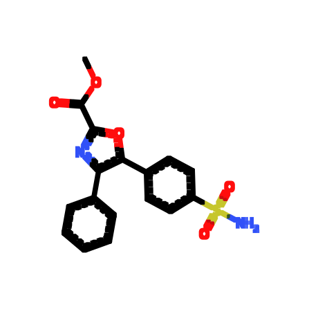 COC(=O)c1nc(-c2ccccc2)c(-c2ccc(S(N)(=O)=O)cc2)o1